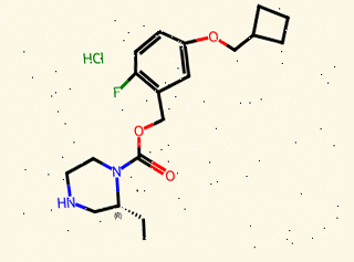 CC[C@@H]1CNCCN1C(=O)OCc1cc(OCC2CCC2)ccc1F.Cl